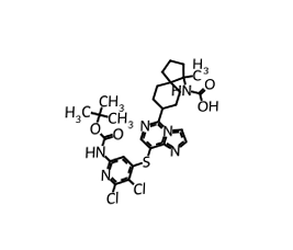 CC(C)(C)OC(=O)Nc1cc(Sc2cnc(C3CCC4(CCCC4(C)NC(=O)O)CC3)n3ccnc23)c(Cl)c(Cl)n1